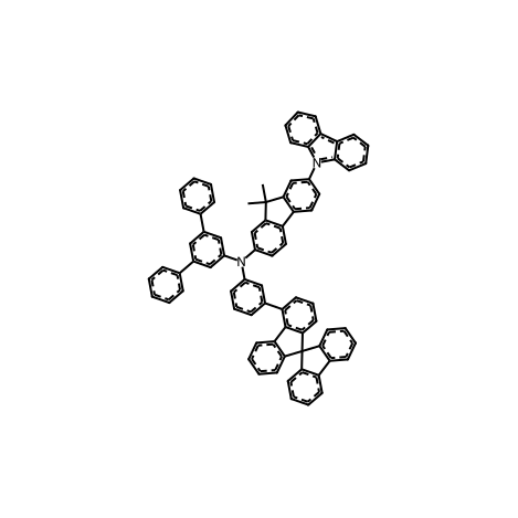 CC1(C)c2cc(N(c3cc(-c4ccccc4)cc(-c4ccccc4)c3)c3cccc(-c4cccc5c4-c4ccccc4C54c5ccccc5-c5ccccc54)c3)ccc2-c2ccc(-n3c4ccccc4c4ccccc43)cc21